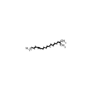 CCCCC#CCCCCCCCCCCC(C)C